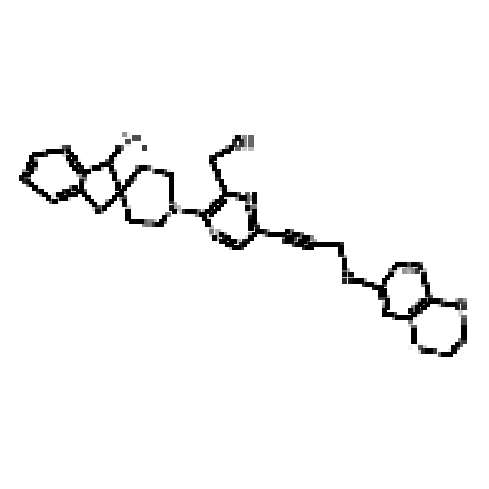 NC1c2ccccc2CC12CCN(c1ncc(C#CCOc3ccc4c(c3)OCCO4)nc1CO)CC2